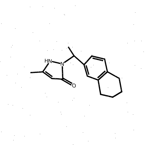 Cc1cc(=O)n(C(C)c2ccc3c(c2)CCCC3)[nH]1